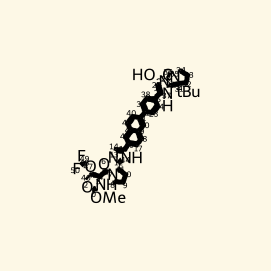 COC(=O)N[C@H](C(=O)N1CCC[C@H]1c1ncc(-c2ccc3cc(-c4ccc(-c5cnc([C@@]6(C(C)(C)C)CCCN6C(=O)O)[nH]5)cc4)ccc3c2)[nH]1)[C@@H](C)OC(F)F